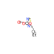 CCC1CCC(C/C=C/c2nc3cc(OCC4COC4)cc(-c4nccs4)c3o2)C=C1C